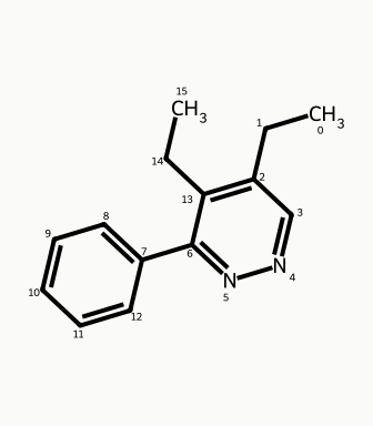 CCc1cnnc(-c2ccccc2)c1CC